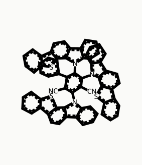 N#Cc1c(-c2ccncc2)c(-n2c3ccccc3c3ccc4c5ccccc5sc4c32)c(-n2c3ccccc3c3ccc4c5ccccc5sc4c32)c(C#N)c1-n1c2ccccc2c2ccc3c4ccccc4sc3c21